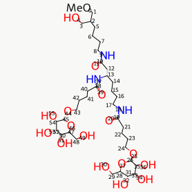 COCC(CO)CCCCNC(=O)C[C@H](CCCCNC(=O)CCCCO[C@@H]1OC(CO)[C@@H](O)[C@H](O)C1O)NC(=O)CCCCO[C@@H]1OC(CO)[C@@H](O)[C@H](O)C1O